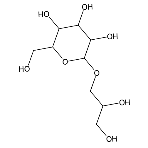 OCC(O)COC1OC(CO)C(O)C(O)C1O